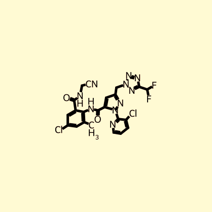 Cc1cc(Cl)cc(C(=O)NCC#N)c1NC(=O)c1cc(Cn2nnc(C(F)F)n2)nn1-c1ncccc1Cl